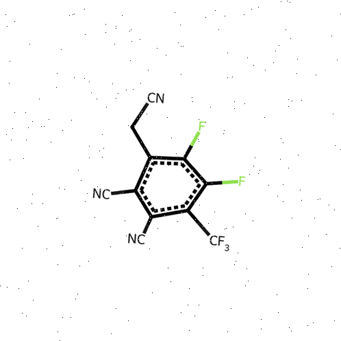 N#CCc1c(F)c(F)c(C(F)(F)F)c(C#N)c1C#N